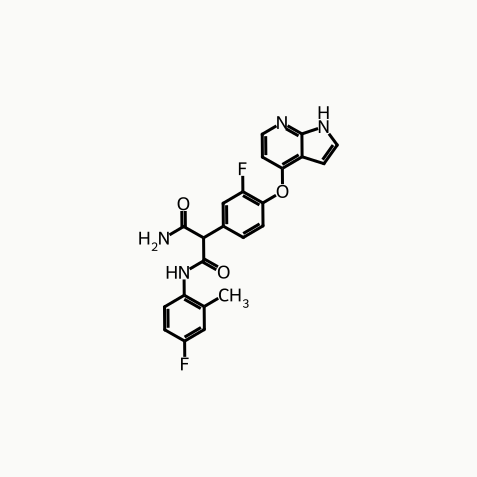 Cc1cc(F)ccc1NC(=O)C(C(N)=O)c1ccc(Oc2ccnc3[nH]ccc23)c(F)c1